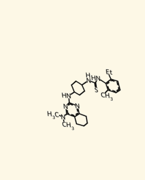 CCc1cccc(C)c1NC(=S)NC1CCC(Nc2nc3c(c(N(C)C)n2)CCCC3)CC1